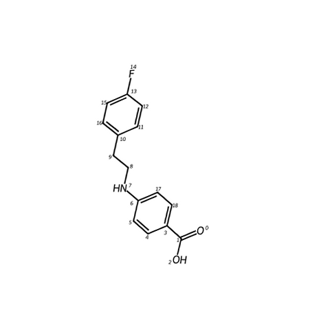 O=C(O)c1ccc(NCCc2ccc(F)cc2)cc1